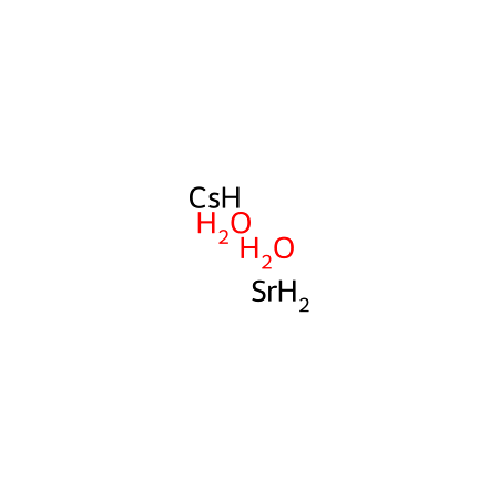 O.O.[CsH].[SrH2]